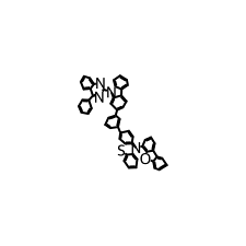 c1ccc(-c2nc(-n3c4ccccc4c4ccc(-c5cccc(-c6ccc7c(c6)Sc6ccccc6N7c6cccc7c6oc6ccccc67)c5)cc43)nc3ccccc23)cc1